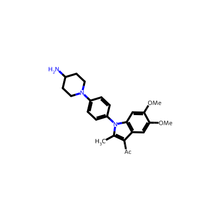 COc1cc2c(C(C)=O)c(C)n(-c3ccc(N4CCC(N)CC4)cc3)c2cc1OC